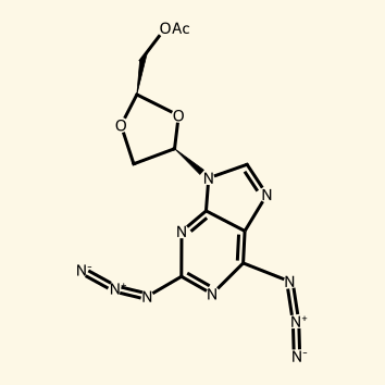 CC(=O)OC[C@@H]1OC[C@H](n2cnc3c(N=[N+]=[N-])nc(N=[N+]=[N-])nc32)O1